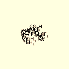 Cc1ccnc(-c2ccc(C[C@H](NC(=O)c3c(F)cc(N4CCOC[C@@H]4C(F)(F)F)cc3F)C(=O)O)c3cccnc23)c1C